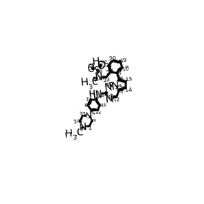 CN1CCN(c2ccc(Nc3ncc4ccc(-c5ccccc5CN(C)[SH](=O)=O)n4n3)cc2)CC1